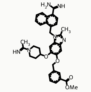 COC(=O)c1cccc(COc2cc3nc(C)n(Cc4ccc(C(=N)N)c5ccccc45)c3cc2OC2CCN(C(C)=N)CC2)c1